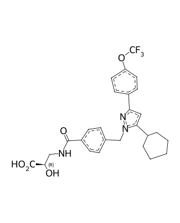 O=C(NC[C@@H](O)C(=O)O)c1ccc(Cn2nc(-c3ccc(OC(F)(F)F)cc3)cc2C2CCCCC2)cc1